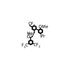 COc1ccc(C(C)C)cc1-c1ccc(CC(F)(F)F)cc1CNCC(O)c1cc(C(F)(F)F)cc(C(F)(F)F)c1